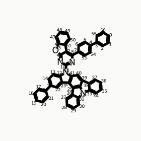 c1ccc(-c2ccc(-c3nc(-n4c5ccc(-c6ccccc6)cc5c5c6c7ccccc7n7c8ccccc8c(cc54)c67)nc4oc5ccccc5c34)cc2)cc1